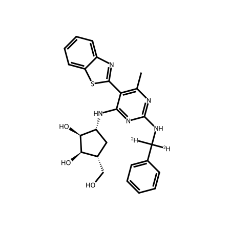 [2H]C([2H])(Nc1nc(C)c(-c2nc3ccccc3s2)c(N[C@@H]2C[C@H](CO)[C@@H](O)[C@H]2O)n1)c1ccccc1